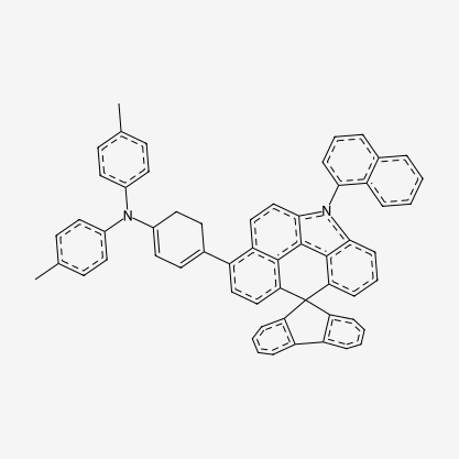 Cc1ccc(N(C2=CC=C(c3ccc4c5c3ccc3c5c5c(cccc5n3-c3cccc5ccccc35)C43c4ccccc4-c4ccccc43)CC2)c2ccc(C)cc2)cc1